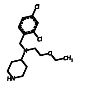 CCOCCN(Cc1ccc(Cl)cc1Cl)C1CCNCC1